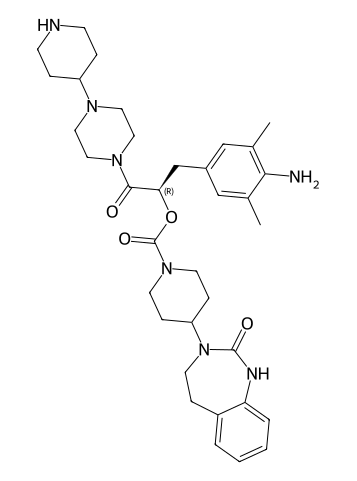 Cc1cc(C[C@@H](OC(=O)N2CCC(N3CCc4ccccc4NC3=O)CC2)C(=O)N2CCN(C3CCNCC3)CC2)cc(C)c1N